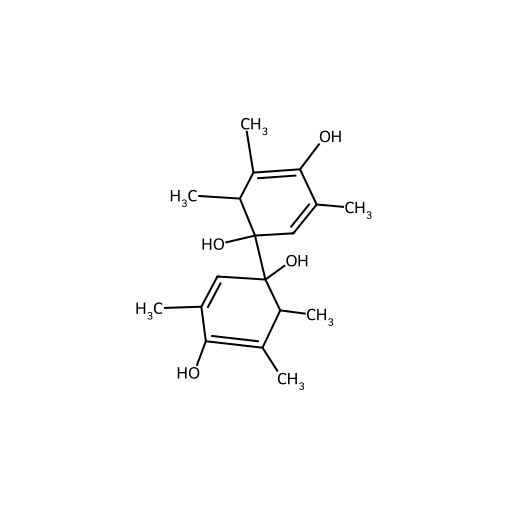 CC1=CC(O)(C2(O)C=C(C)C(O)=C(C)C2C)C(C)C(C)=C1O